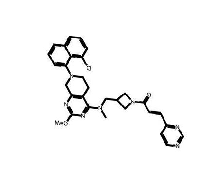 COc1nc2c(c(N(C)CC3CN(C(=O)/C=C/c4ccncn4)C3)n1)CCN(c1cccc3cccc(Cl)c13)C2